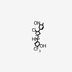 CC1C=CC(C2CC(SNC3=CCC(C(F)(F)F)C(O)C3)SC2Cl)CC1N=O